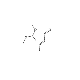 CC=CC=O.COC(C)OC